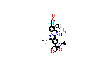 Cc1c([C@@H](C)Nc2nnc(C)c3cc4c(cc23)N(C2CC2)C(=O)C42CCOCC2)cccc1C(F)(F)CO